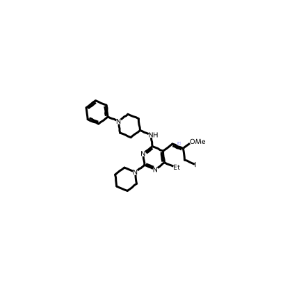 CCc1nc(N2CCCCC2)nc(NC2CCN(c3ccccc3)CC2)c1/C=C(\CI)OC